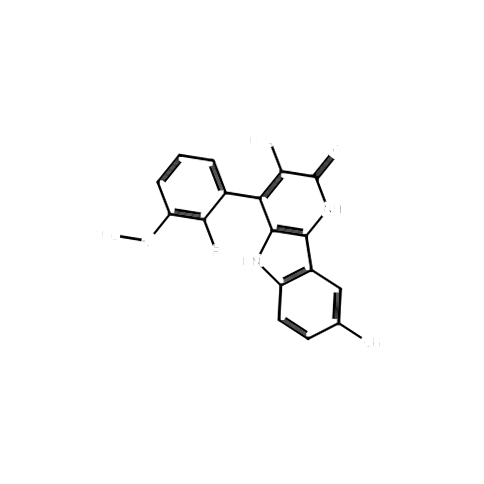 COc1cccc(-c2c(C)c(=O)[nH]c3c2[nH]c2ccc(C)cc23)c1F